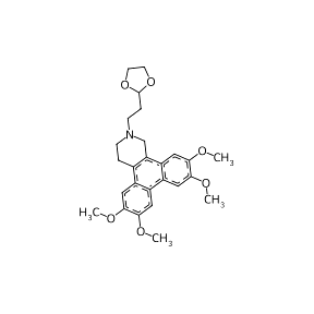 COc1cc2c3c(c4cc(OC)c(OC)cc4c2cc1OC)CN(CCC1OCCO1)CC3